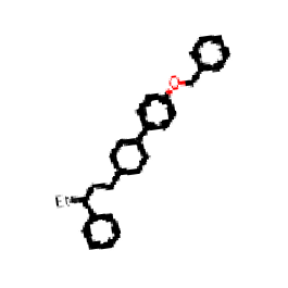 [CH2]CC(CCC1CCC(c2ccc(OCc3ccccc3)cc2)CC1)c1ccccc1